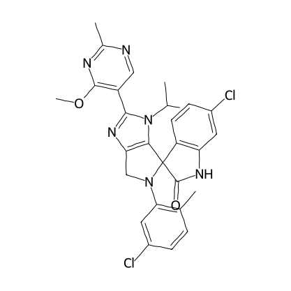 COc1nc(C)ncc1-c1nc2c(n1C(C)C)C1(C(=O)Nc3cc(Cl)ccc31)N(c1cc(Cl)ccc1C)C2